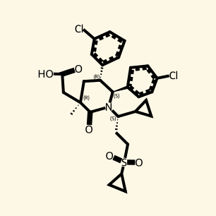 C[C@]1(CC(=O)O)C[C@H](c2cccc(Cl)c2)[C@@H](c2ccc(Cl)cc2)N([C@@H](CCS(=O)(=O)C2CC2)C2CC2)C1=O